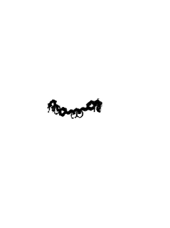 Cn1ccc2ccc(C=CC(=O)CC(=O)C=Cc3ccc(OCc4ccccn4)cc3)cc21